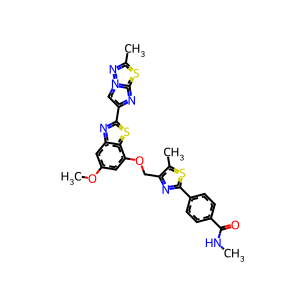 CNC(=O)c1ccc(-c2nc(COc3cc(OC)cc4nc(-c5cn6nc(C)sc6n5)sc34)c(C)s2)cc1